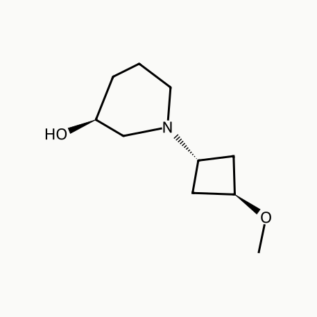 CO[C@H]1C[C@H](N2CCC[C@H](O)C2)C1